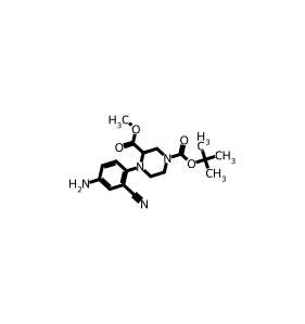 COC(=O)C1CN(C(=O)OC(C)(C)C)CCN1c1ccc(N)cc1C#N